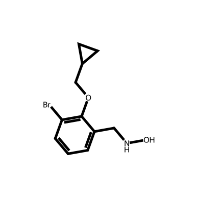 ONCc1cccc(Br)c1OCC1CC1